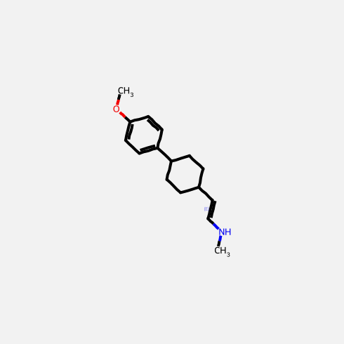 CN/C=C/C1CCC(c2ccc(OC)cc2)CC1